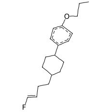 CCCOc1ccc(C2CCC(CC/C=C/F)CC2)cc1